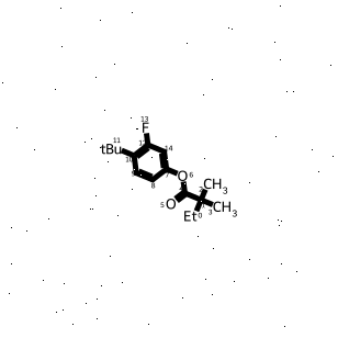 CCC(C)(C)C(=O)Oc1ccc(C(C)(C)C)c(F)c1